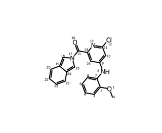 COc1ccccc1Nc1cc(Cl)nc(C(=O)n2cc3ccccc3c2)c1